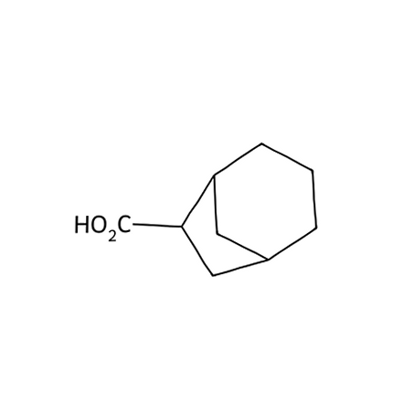 O=C(O)C1CC2CCCC1C2